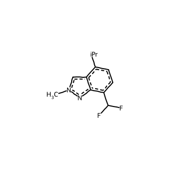 CC(C)c1ccc(C(F)F)c2nn(C)cc12